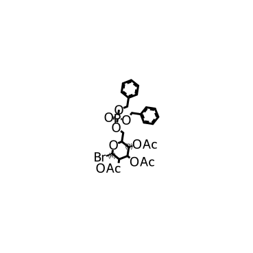 CC(=O)OC1C(OC(C)=O)[C@@H](Br)OC(COP(=O)(OCc2ccccc2)OCc2ccccc2)[C@H]1OC(C)=O